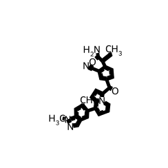 CC=C(C(N)=O)c1ccc(C(=O)c2ccc3c(-c4cc5cnn(C)c5cc4C)cccn23)cc1C#N